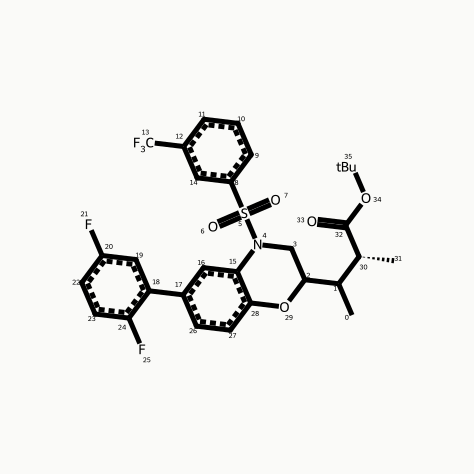 CC(C1CN(S(=O)(=O)c2cccc(C(F)(F)F)c2)c2cc(-c3cc(F)ccc3F)ccc2O1)[C@@H](C)C(=O)OC(C)(C)C